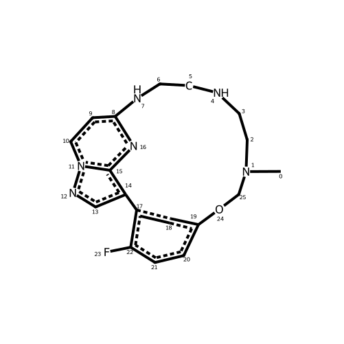 CN1CCNCCNc2ccn3ncc(c3n2)-c2cc(ccc2F)OC1